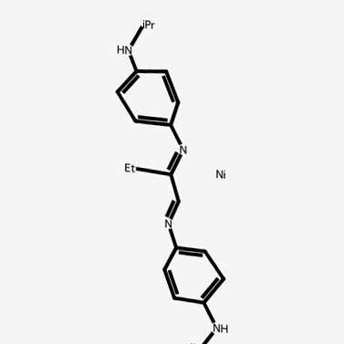 CCC(/C=N/c1ccc(NC(C)C)cc1)=N\c1ccc(NC(C)C)cc1.[Ni]